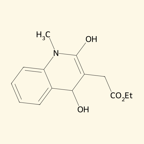 CCOC(=O)CC1=C(O)N(C)c2ccccc2C1O